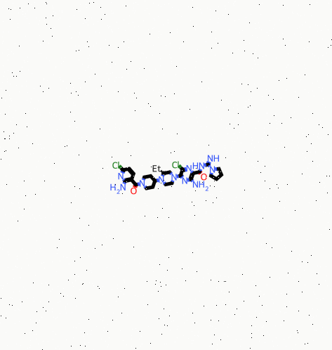 CC[C@H]1CN(c2nc(N)c(C(=O)NC(=N)N3CCCC3)nc2Cl)CCN1C1CCN(C(=O)c2ccc(Cl)nc2N)CC1